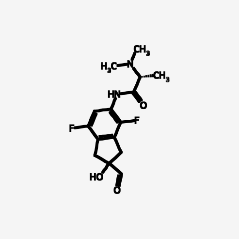 C[C@H](C(=O)Nc1cc(F)c2c(c1F)CC(O)(C=O)C2)N(C)C